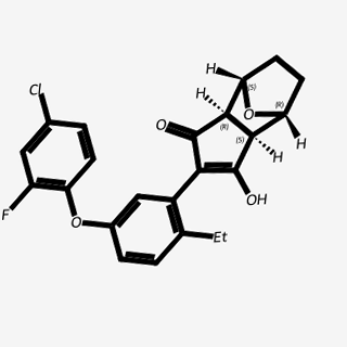 CCc1ccc(Oc2ccc(Cl)cc2F)cc1C1=C(O)[C@H]2[C@@H](C1=O)[C@@H]1CC[C@H]2O1